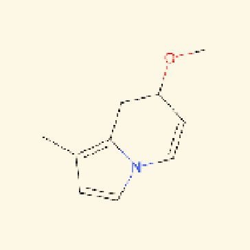 COC1C=Cn2ccc(C)c2C1